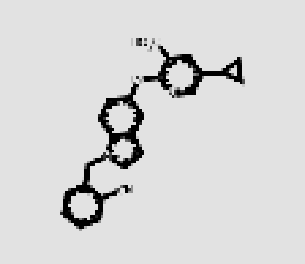 N#Cc1ccccc1Cn1ccc2cc(Nc3ncc(C4CC4)cc3C(=O)O)ccc21